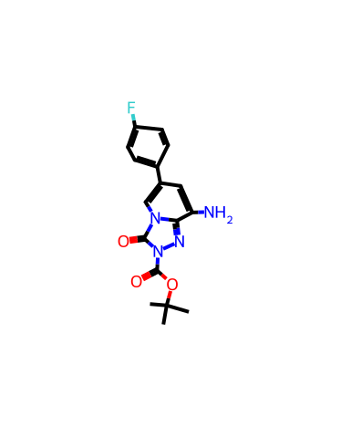 CC(C)(C)OC(=O)n1nc2c(N)cc(-c3ccc(F)cc3)cn2c1=O